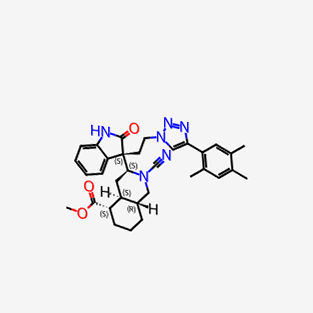 COC(=O)[C@H]1CCC[C@H]2CN(C#N)[C@H]([C@@]3(CCn4cc(-c5cc(C)c(C)cc5C)nn4)C(=O)Nc4ccccc43)C[C@@H]21